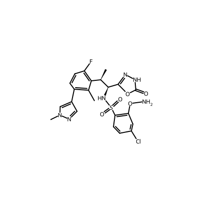 Cc1c(-c2cnn(C)c2)ccc(F)c1[C@@H](C)[C@H](NS(=O)(=O)c1ccc(Cl)cc1ON)c1n[nH]c(=O)o1